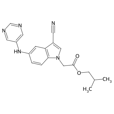 CC(C)COC(=O)Cn1cc(C#N)c2cc(Nc3cncnc3)ccc21